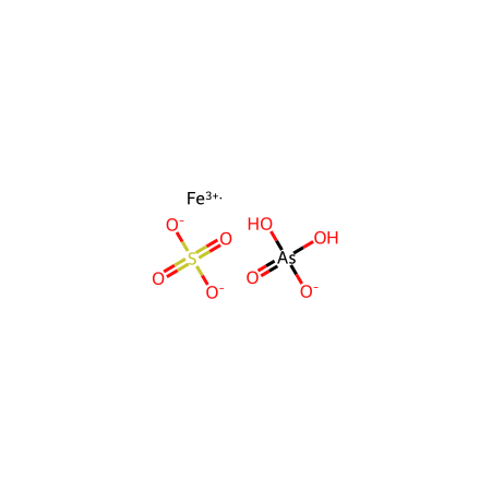 O=S(=O)([O-])[O-].O=[As]([O-])(O)O.[Fe+3]